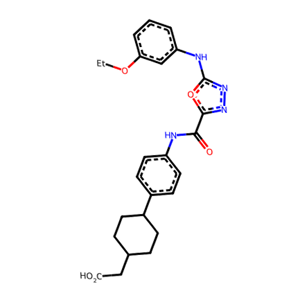 CCOc1cccc(Nc2nnc(C(=O)Nc3ccc(C4CCC(CC(=O)O)CC4)cc3)o2)c1